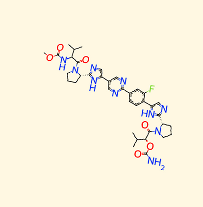 COC(=O)N[C@H](C(=O)N1CCC[C@H]1c1ncc(-c2cnc(-c3ccc(-c4cnc([C@@H]5CCCN5C(=O)[C@@H](OC(N)=O)C(C)C)[nH]4)c(F)c3)nc2)[nH]1)C(C)C